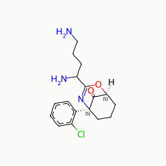 NCCCC(N)C1=N[C@]2(c3ccccc3Cl)CCC[C@H](O1)C2=O